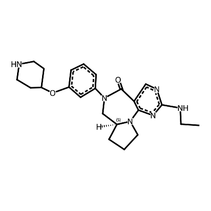 CCNc1ncc2c(n1)N1CCC[C@H]1CN(c1cccc(OC3CCNCC3)c1)C2=O